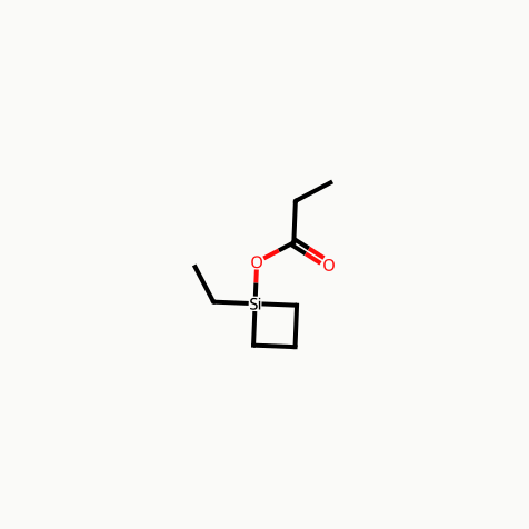 CCC(=O)O[Si]1(CC)CCC1